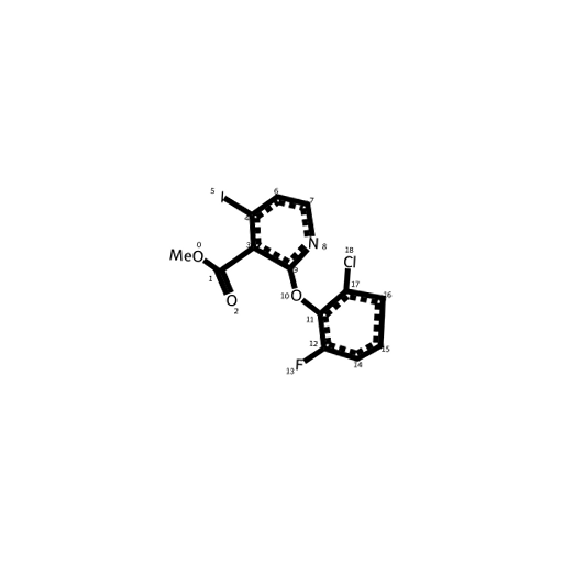 COC(=O)c1c(I)ccnc1Oc1c(F)cccc1Cl